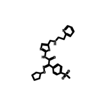 CS(=O)(=O)c1ccc(/C(=N\OC2CCCC2)C(=O)Nc2ncc(CNCCc3ccccn3)s2)cc1